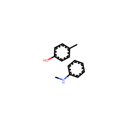 CNc1ccccc1.Cc1ccc(O)cc1